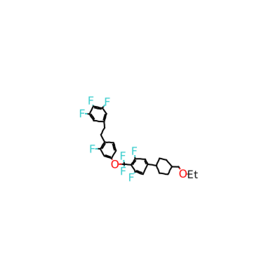 CCOCC1CCC(c2cc(F)c(C(F)(F)Oc3ccc(CCc4cc(F)c(F)c(F)c4)c(F)c3)c(F)c2)CC1